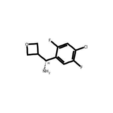 N[C@@H](c1cc(F)c(Cl)cc1F)C1COC1